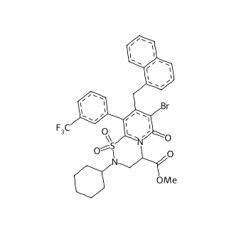 COC(=O)C1CN(C2CCCCC2)S(=O)(=O)c2c(-c3cccc(C(F)(F)F)c3)c(Cc3cccc4ccccc34)c(Br)c(=O)n21